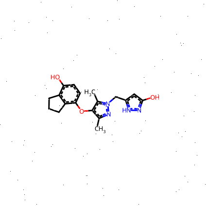 Cc1nn(Cc2cc(O)n[nH]2)c(C)c1Oc1ccc(O)c2c1CCC2